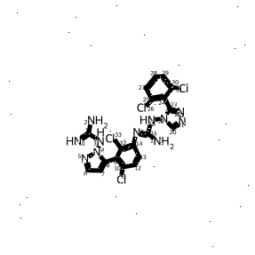 N=C(N)Nn1nccc1-c1c(Cl)ccc(/N=C(\N)Nn2cnnc2-c2c(Cl)cccc2Cl)c1Cl